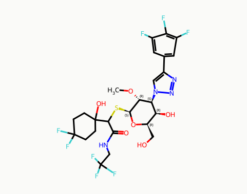 CO[C@@H]1[C@@H](n2cc(-c3cc(F)c(F)c(F)c3)nn2)[C@@H](O)[C@@H](CO)O[C@H]1SC(C(=O)NCC(F)(F)F)C1(O)CCC(F)(F)CC1